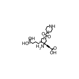 N[C@@]1(C#CC(=O)O)CN(S(=O)(=O)N2CCNCC2)C[C@@H]1CCCB(O)O